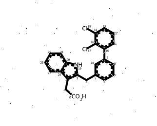 O=C(O)Cc1c(Cc2cccc(-c3cccc(Cl)c3Cl)c2)[nH]c2ccccc12